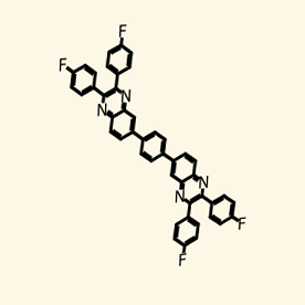 Fc1ccc(-c2nc3ccc(-c4ccc(-c5ccc6nc(-c7ccc(F)cc7)c(-c7ccc(F)cc7)nc6c5)cc4)cc3nc2-c2ccc(F)cc2)cc1